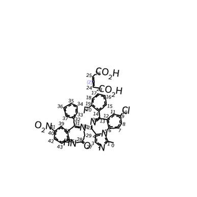 Cc1ncc2n1-c1ccc(Cl)cc1C(c1ccccc1F)=NC2.O=C(O)/C=C\C(=O)O.O=C1CN=C(c2ccccc2)c2cc([N+](=O)[O-])ccc2N1